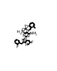 COC(=O)N(Cc1ccccc1C)c1c(N)nc(-n2nc(Cc3ccccc3F)c3ncc(F)cc32)nc1N